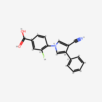 N#Cc1cn(-c2ccc(C(=O)O)cc2F)cc1-c1ccccc1